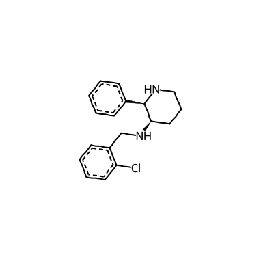 Clc1ccccc1CN[C@@H]1CCCN[C@@H]1c1ccccc1